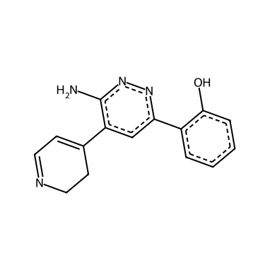 Nc1nnc(-c2ccccc2O)cc1C1=CC=NCC1